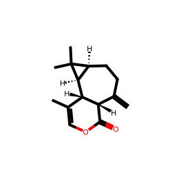 C=C1CC[C@H]2[C@@H]([C@H]3C(C)=COC(=O)[C@@H]13)C2(C)C